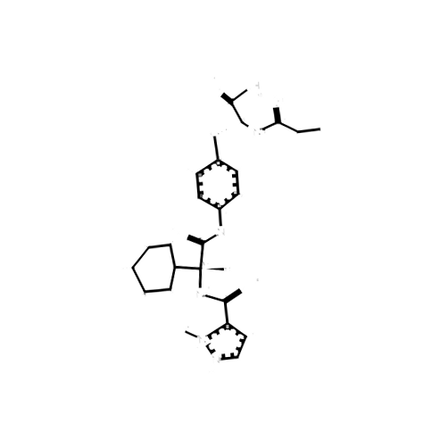 CCC(=O)N[C@H](Cc1ccc(NC(=O)[C@](C)(NC(=O)c2ccnn2C)C2CCCCC2)cc1)C(=O)O